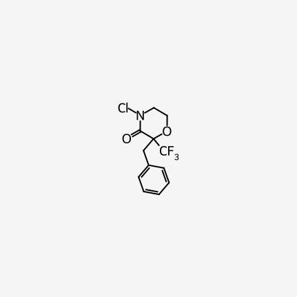 O=C1N(Cl)CCOC1(Cc1ccccc1)C(F)(F)F